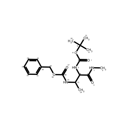 CNC(=O)C(NC(=O)OC(C)(C)C)C(C)NC(=O)OCc1ccccc1